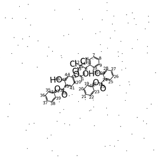 CC(=O)OC(c1ccccc1)C(Cl)(Cl)Cl.O=C(Oc1ccccc1)c1ccccc1O.O=C(Oc1ccccc1)c1ccccc1O